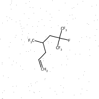 C=CCC(CC(F)(C(F)(F)F)C(F)(F)F)C(F)(F)F